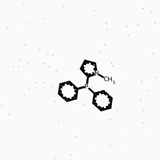 Cn1cccc1P(c1ccccc1)c1ccccc1